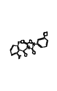 O=C(c1c(F)cccc1F)n1c(=O)on(-c2cccc(Cl)c2)c1=O